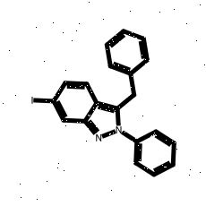 Ic1ccc2c(Cc3ccccc3)n(-c3ccccc3)nc2c1